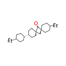 CCC1CCC([C@H]2CC[C@]3(CC2)C[C@@]2(CCC(CC)CC2)C3=O)CC1